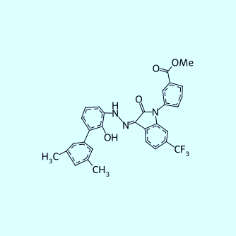 COC(=O)c1cccc(N2C(=O)C(=NNc3cccc(-c4cc(C)cc(C)c4)c3O)c3ccc(C(F)(F)F)cc32)c1